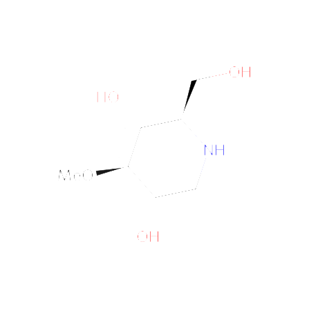 CO[C@H]1[C@H](O)[C@@H](CO)NC[C@@H]1O